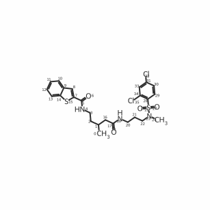 CC(CCNC(=O)c1cc2ccccc2s1)CC(=O)NCCCN(C)S(=O)(=O)c1ccc(Cl)cc1Cl